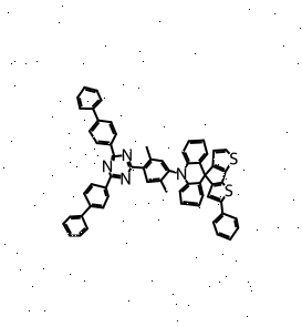 Cc1cc(N2c3ccccc3C3(c4ccccc42)c2ccsc2-c2sc(-c4ccccc4)cc23)c(C)cc1-c1nc(-c2ccc(-c3ccccc3)cc2)nc(-c2ccc(-c3ccccc3)cc2)n1